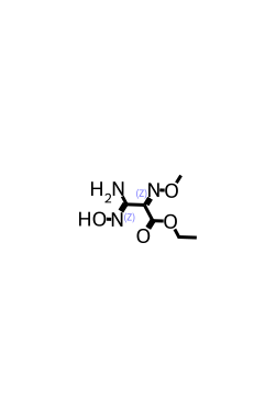 CCOC(=O)C(=N\OC)/C(N)=N/O